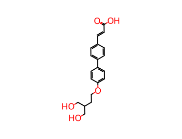 O=C(O)/C=C/c1ccc(-c2ccc(OCCC(CO)CO)cc2)cc1